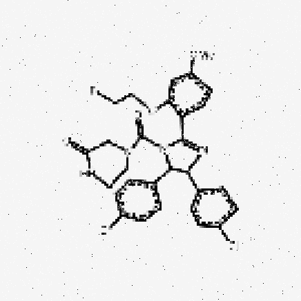 COc1ccc(C2=NC(c3ccc(Cl)cc3)C(c3ccc(Cl)cc3)N2C(=O)N2CCNC(=O)C2)c(OCCF)c1